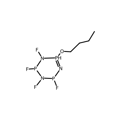 CCCCO[PH]1=NP(F)N(F)P(F)N1F